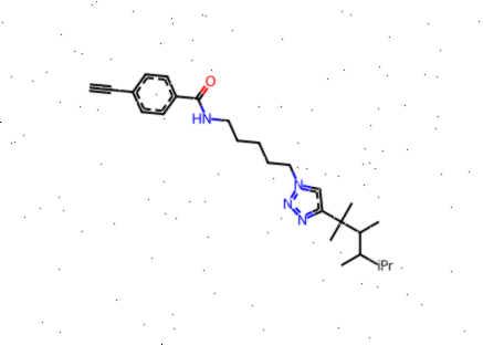 C#Cc1ccc(C(=O)NCCCCCn2cc(C(C)(C)C(C)C(C)C(C)C)nn2)cc1